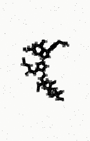 COP(=O)(O)OP(=O)(OC)OP(=O)(OC)OC[C@H]1O[C@@H](n2cc(C#CCN)c3c(=O)[nH]c(N)nc32)CC1O[C@H](C)SSC